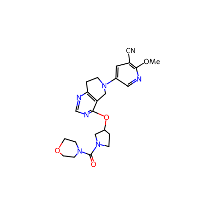 COc1ncc(N2CCc3ncnc(OC4CCN(C(=O)N5CCOCC5)C4)c3C2)cc1C#N